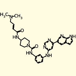 CN(C)C/C=C/C(=O)NC1CCN(C(=O)Nc2cccc(Nc3cc(-c4cnc5[nH]ccc5c4)ncn3)c2)CC1